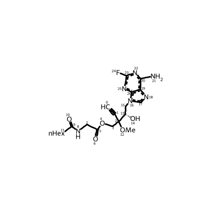 C#CC(COC(=O)CNC(=O)CCCCCC)(OC)[C@@H](O)Cn1cnc2c(N)nc(F)nc21